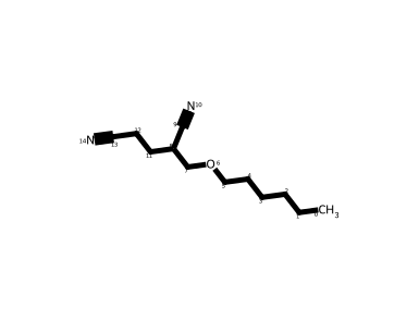 CCCCCCOCC(C#N)CCC#N